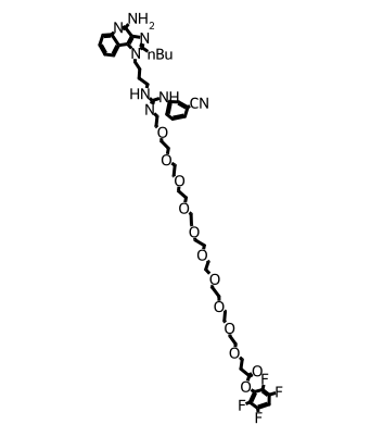 CCCCc1nc2c(N)nc3ccccc3c2n1CCCCN/C(=N/CCOCCOCCOCCOCCOCCOCCOCCOCCOCCOCCC(=O)Oc1c(F)c(F)cc(F)c1F)Nc1cccc(C#N)c1